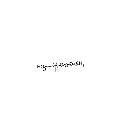 COCCOCCOCCOCCNC(=O)CCCCCCC(=O)O